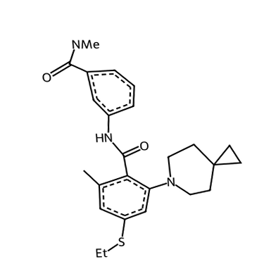 CCSc1cc(C)c(C(=O)Nc2cccc(C(=O)NC)c2)c(N2CCC3(CC2)CC3)c1